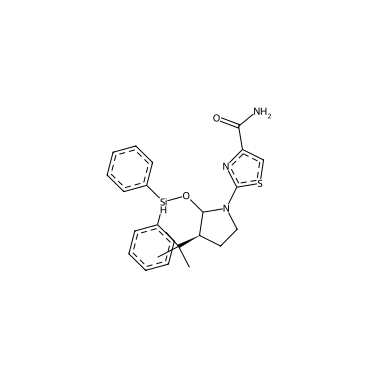 CC(C)(C)[C@@H]1CCN(c2nc(C(N)=O)cs2)C1O[SiH](c1ccccc1)c1ccccc1